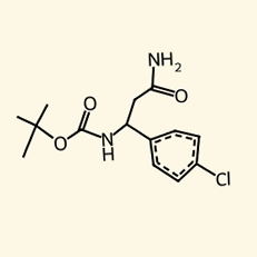 CC(C)(C)OC(=O)NC(CC(N)=O)c1ccc(Cl)cc1